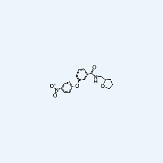 O=C(NCC1CCCO1)c1cccc(Oc2ccc([N+](=O)[O-])cc2)c1